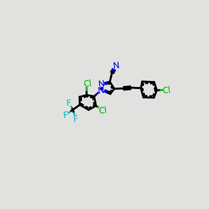 N#Cc1nn(-c2c(Cl)cc(C(F)(F)F)cc2Cl)cc1C#Cc1ccc(Cl)cc1